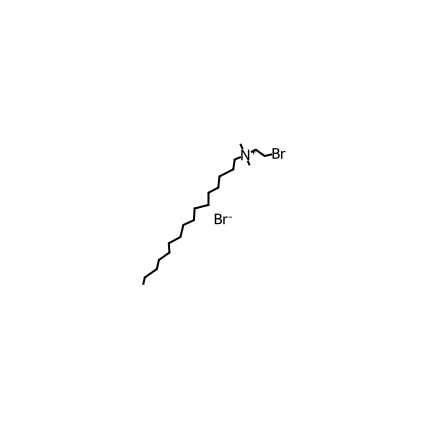 CCCCCCCCCCCCCCCC[N+](C)(C)CCBr.[Br-]